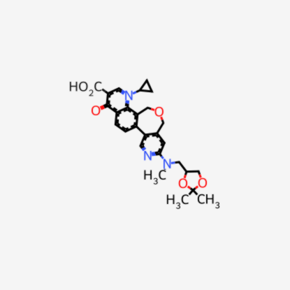 CN(CC1COC(C)(C)O1)c1cc2c(cn1)-c1ccc3c(=O)c(C(=O)O)cn(C4CC4)c3c1COC2